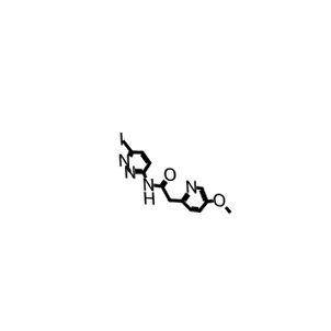 COc1ccc(CC(=O)Nc2ccc(I)nn2)nc1